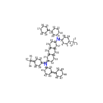 CC(C)(C)c1ccc(N(c2cccc(-c3ccccc3)c2)c2ccc3cc4cc(N(c5ccc(C(C)(C)C)cc5)c5cccc(-c6ccccc6)c5)ccc4cc3c2)cc1